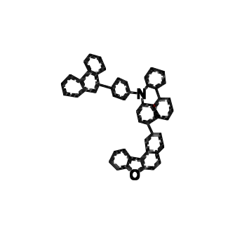 c1ccc(-c2ccccc2N(c2ccc(-c3ccc4ccc5oc6ccccc6c5c4c3)cc2)c2ccc(-c3cc4ccccc4c4ccccc34)cc2)cc1